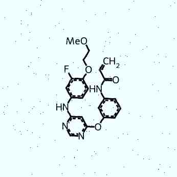 C=CC(=O)Nc1cccc(Oc2cc(Nc3ccc(OCCOC)c(F)c3)ncn2)c1